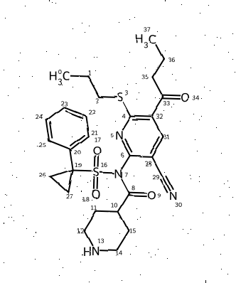 CCCSc1nc(N(C(=O)C2CCNCC2)S(=O)(=O)C2(c3ccccc3)CC2)c(C#N)cc1C(=O)CCC